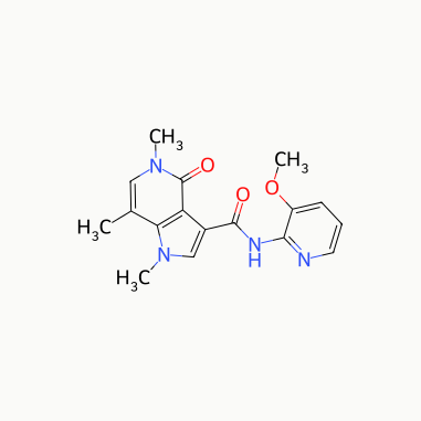 COc1cccnc1NC(=O)c1cn(C)c2c(C)cn(C)c(=O)c12